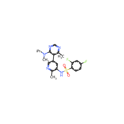 Cc1ncc(-c2c(C)ncnc2N(C)C(C)C)cc1NS(=O)(=O)c1ccc(F)cc1F